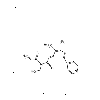 C=CC(=O)N(CO)C(=O)C=CC(C(=O)O)=C(C=Cc1ccccc1)CCCC